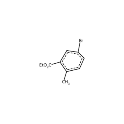 CCOC(=O)c1cc(Br)ccc1C